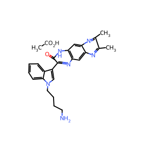 CC(=O)O.Cc1nc2cc3nc(-c4cn(CCCCN)c5ccccc45)c(=O)[nH]c3cc2nc1C